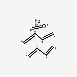 C=CC=C.C=CC=C.[C]=O.[Fe]